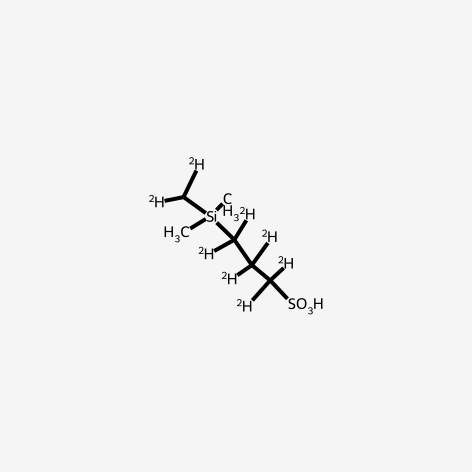 [2H]C([2H])[Si](C)(C)C([2H])([2H])C([2H])([2H])C([2H])([2H])S(=O)(=O)O